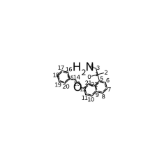 CC(C)(CN)c1cccc2ccc(OCc3ccccc3)cc12